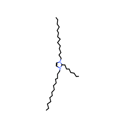 CCCCCCCCCCCCCCN1C=CN(CCCCCCCCCCCCCC)C1CCCCCCC